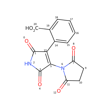 O=C1NC(=O)C(N2C(=O)CCC2=O)=C1c1ccccc1C(=O)O